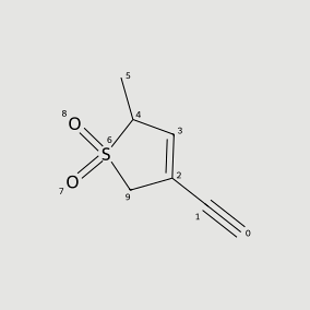 C#CC1=CC(C)S(=O)(=O)C1